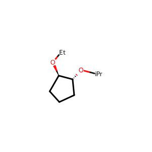 CCO[C@@H]1CCC[C@H]1OC(C)C